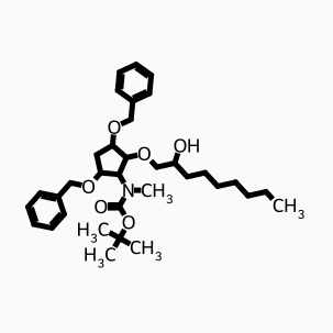 CCCCCCCC(O)COC1C(OCc2ccccc2)CC(OCc2ccccc2)C1N(C)C(=O)OC(C)(C)C